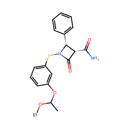 CCOC(C)Oc1cccc(SN2C(=O)[C@@H](C(N)=O)[C@H]2c2ccccc2)c1